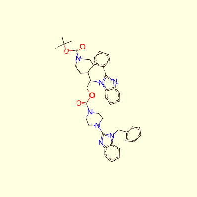 CC(C)(C)OC(=O)N1CCC(C(COC(=O)N2CCN(c3nc4ccccc4n3Cc3ccccc3)CC2)n2c(-c3ccccc3)nc3ccccc32)CC1